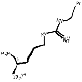 CC(C)CNC(=N)NCCC[C@H](N)C(=O)O